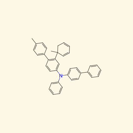 Cc1ccc(-c2ccc(N(c3ccccc3)c3ccc(-c4ccccc4)cc3)cc2C2(C)C=CC=CC2)cc1